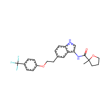 CC1(C(=O)Nc2c[nH]c3ccc(CCOc4ccc(C(F)(F)F)cc4)cc23)CCCO1